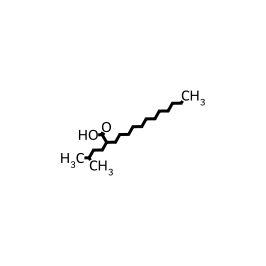 CCCCCCCCCCCCC(CCC(C)C)C(=O)O